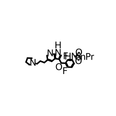 CCCS(=O)(=O)Nc1ccc(F)c(C(=O)c2c[nH]c3ncc(CCCN4CCCC4)cc23)c1F